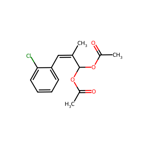 CC(=O)OC(OC(C)=O)C(C)=Cc1ccccc1Cl